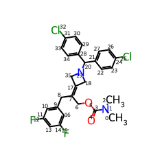 CN(C)C(=O)OCC(Cc1cc(F)cc(F)c1)=C1CN(C(c2ccc(Cl)cc2)c2ccc(Cl)cc2)C1